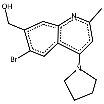 Cc1cc(N2CCCC2)c2cc(Br)c(CO)cc2n1